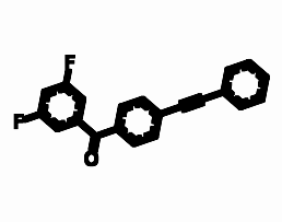 O=C(c1ccc(C#Cc2ccccc2)cc1)c1cc(F)cc(F)c1